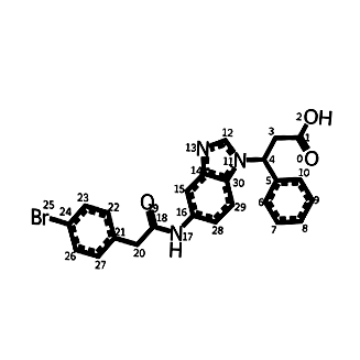 O=C(O)CC(c1ccccc1)n1cnc2cc(NC(=O)Cc3ccc(Br)cc3)ccc21